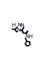 C=C(/C=C(\C=N/N)N1CC(C)C1)NCC1CCCC1